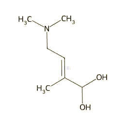 C/C(=C\CN(C)C)C(O)O